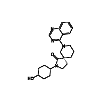 O=C1N(C2CCC(O)CC2)CC[C@]12CCCN(c1ncnc3ccccc13)C2